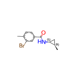 Cc1ccc(C(=O)N[C@H]2C[C@H]2C)cc1Br